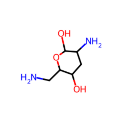 NCC1OC(O)C(N)CC1O